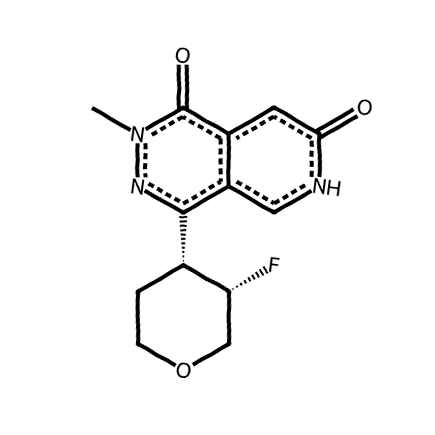 Cn1nc([C@H]2CCOC[C@H]2F)c2c[nH]c(=O)cc2c1=O